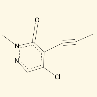 CC#Cc1c(Cl)cnn(C)c1=O